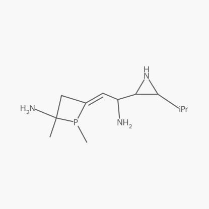 CC(C)C1NC1C(N)/C=C1/CC(C)(N)P1C